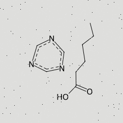 CCCCCC(=O)O.c1ncncn1